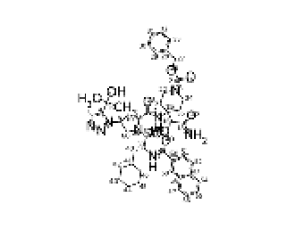 CC(C)(O)c1cnnn1[C@H]1C[C@@H](C(=O)NC2(C(O)C(N)=O)CCN(C(=O)OCc3ccccc3)CC2)N(C(=O)[C@@H](CC2CCCCC2)NC(=O)c2ccc3ccccc3c2)C1